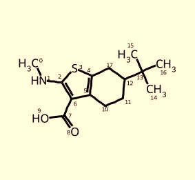 CNc1sc2c(c1C(=O)O)CCC(C(C)(C)C)C2